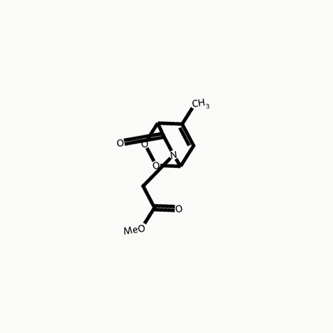 COC(=O)CN1C(=O)C2OOC1C=C2C